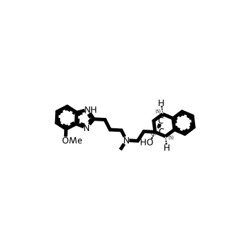 COc1cccc2[nH]c(CCCN(C)CC[C@@]3(O)C[C@@H]4CCC[C@H]3c3ccccc34)nc12